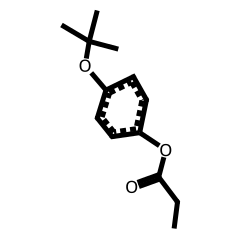 CCC(=O)Oc1ccc(OC(C)(C)C)cc1